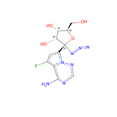 [N-]=[N+]=N[C@@]1(c2cc(F)c3c(N)ncnn23)O[C@H](CO)[C@@H](O)[C@H]1O